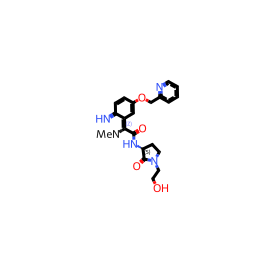 CN/C(C(=O)N[C@H]1CCN(CCO)C1=O)=C1/C=C(OCc2ccccn2)C=CC1=N